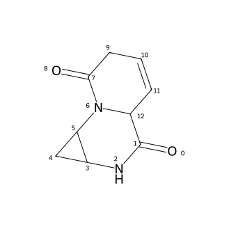 O=C1NC2CC2N2C(=O)CC=CC12